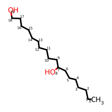 CCCCCCCC(O)CCCCCCCCCCO